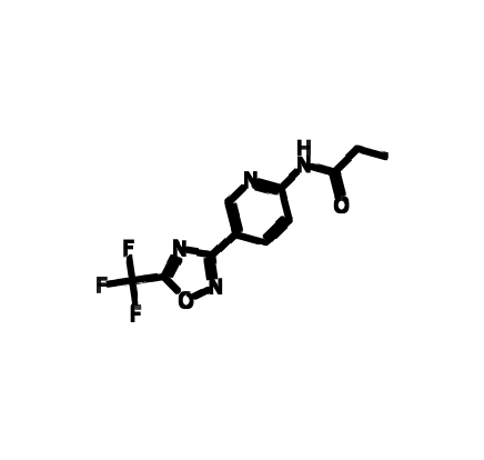 CCC(=O)Nc1ccc(-c2noc(C(F)(F)F)n2)cn1